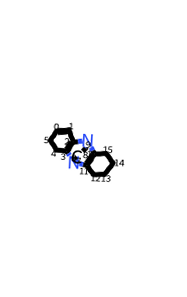 C1=CC2=C(CC1)N1CCN2C2=C1CCCC2